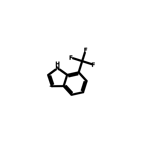 FC(F)(F)c1cccc2[c]c[nH]c12